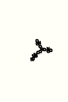 c1ccc2oc(-c3ccc(N(c4ccc(-c5nc6ccccc6o5)cc4)c4ccc5cc(-c6ccc7c(n6)sc6cnccc67)ccc5c4)cc3)nc2c1